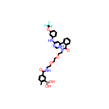 Cc1ccc(C(=O)NCCOCCOCCNC(=O)c2ccccc2-c2cc(Nc3cccc(OC(F)(F)F)c3)ncn2)cc1B(O)O